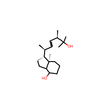 C[C@H](/C=C/[C@H](C)[C@H]1CCC2C(O)CCC[C@@]21C)C(C)(C)O